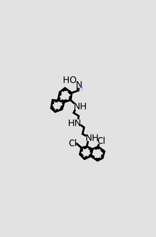 O/N=C\c1ccc2ccccc2c1NCCNCCNc1c(Cl)ccc2cccc(Cl)c12